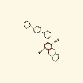 N#Cc1cccc2c1C1c3ccccc3C2c2c1ccc(-c1cccc(-c3ccc(-c4ccccc4)cc3)c1)c2C#N